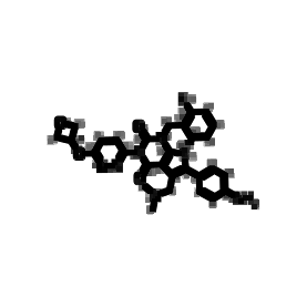 CN(C)Cc1c(-c2ccc(N)cc2)sc2c1c(=O)n(-c1ccc(OC3COC3)nn1)c(=O)n2Cc1c(F)cccc1F